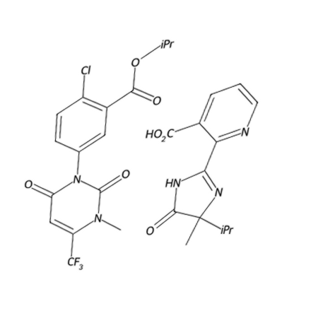 CC(C)C1(C)N=C(c2ncccc2C(=O)O)NC1=O.CC(C)OC(=O)c1cc(-n2c(=O)cc(C(F)(F)F)n(C)c2=O)ccc1Cl